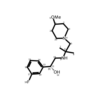 COC1CCN(CC(C)(C)NC[C@H](O)c2cccc(F)c2)CC1